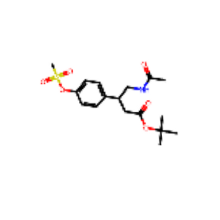 CC(=O)NCC(CC(=O)OC(C)(C)C)c1ccc(OS(C)(=O)=O)cc1